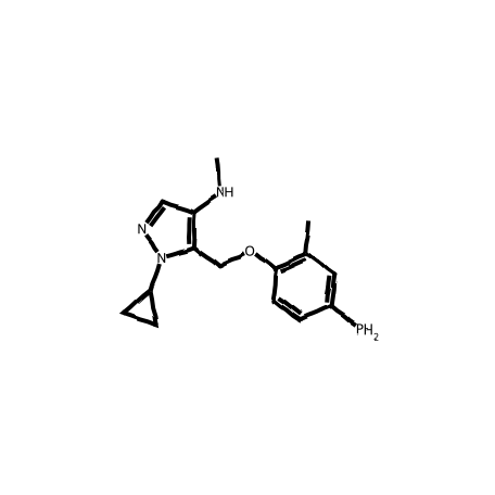 CNc1cnn(C2CC2)c1COc1ccc(P)cc1C